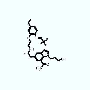 CCc1ccc(OCC(F)(F)F)c(OCCN[C@H](C)Cc2cc(C(N)=O)c3c(ccn3CCCO)c2)c1